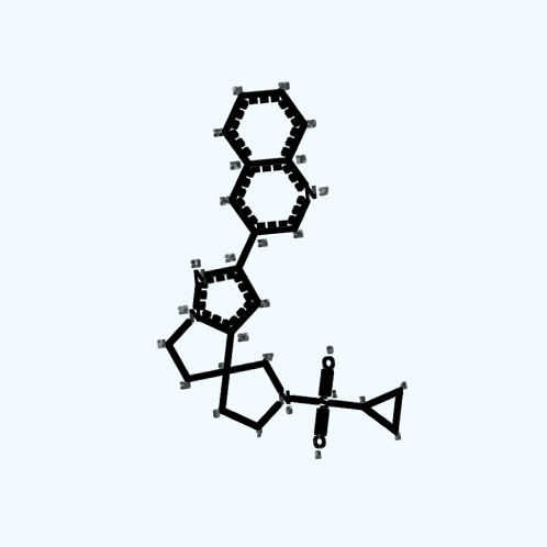 O=S(=O)(C1CC1)N1CCC2(CCn3nc(-c4cnc5ccccc5c4)cc32)C1